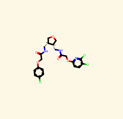 O=C(COc1ccc(Cl)cc1)NC[C@@H]1COC[C@@H]1CNC(=O)COc1ccc(Cl)c(Cl)n1